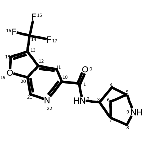 O=C(NC1CC2CC1CN2)c1cc2c(C(F)(F)F)coc2cn1